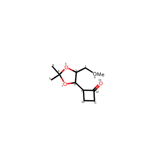 COCC1OC(C)(C)OC1C1CCC1=O